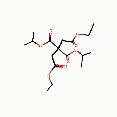 CCOC(=O)CC(CC(=O)OCC)(C(=O)OC(C)C)C(=O)OC(C)C